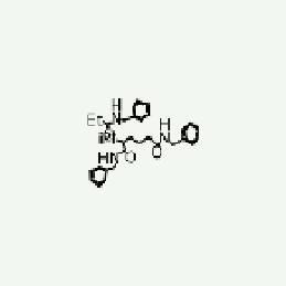 CC(C)C(CCCC(=O)NCc1ccccc1)C(=O)NCc1ccccc1.[CH2]CC(=O)NCc1ccccc1